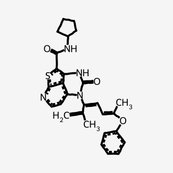 C=C(C)/C(=C\C=C(/C)Oc1ccccc1)N1C(=O)Nc2c(C(=O)NC3CCCC3)sc3nccc1c23